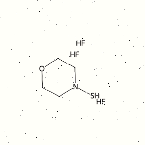 F.F.F.SN1CCOCC1